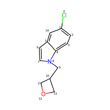 Clc1ccc2c([c]cn2CC2COC2)c1